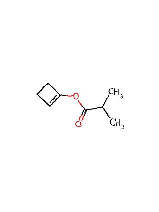 CC(C)C(=O)OC1=CCC1